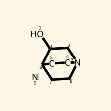 OC1CN2CCC1CC2.[N]